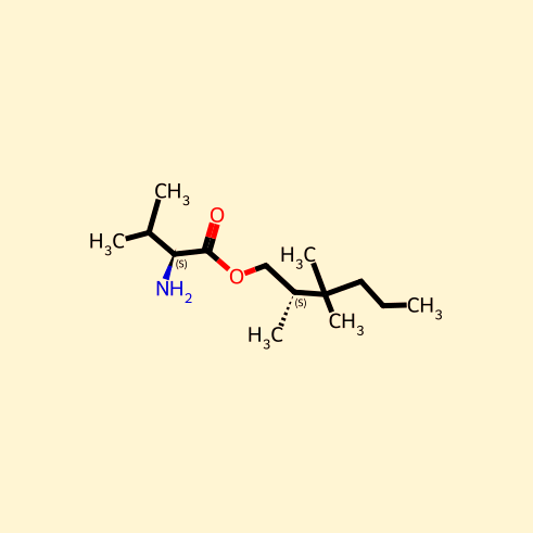 CCCC(C)(C)[C@H](C)COC(=O)[C@@H](N)C(C)C